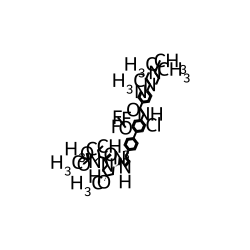 COC(=O)N[C@H](C(=O)N1C[C@@H](OC)C[C@H]1c1nc(-c2ccc(-c3cc(Cl)c(NC(=O)c4ccc(N5CCN(C(C)(C)C)CC5C)nc4)cc3OC(F)(F)F)cc2)c[nH]1)C(C)C